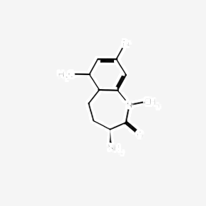 CC1C=C(Br)C=C2C1CC[C@H](N)C(=O)N2C